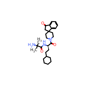 CC(C)(N)C(=O)N[C@H](CCC1CCCCC1)C(=O)N1CCC2(CC1)CC(=O)c1ccccc12